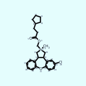 C[N+]1(COC(=O)CCC2CCCC2)CC2c3ccccc3Oc3ccc(Cl)cc3C2C1